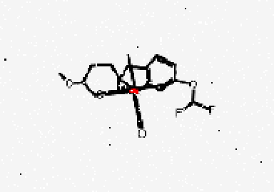 COC1CCC2(CC1)Cc1ccc(OC(F)F)cc1C21NC(=O)NC1=O